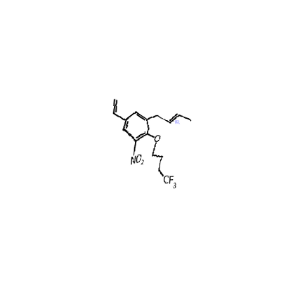 C=Cc1cc(C/C=C/C)c(OCCCC(F)(F)F)c([N+](=O)[O-])c1